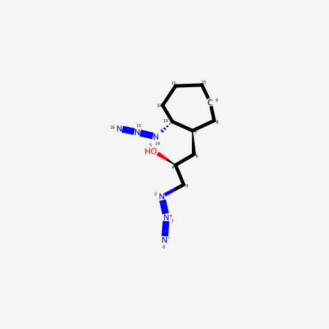 [N-]=[N+]=NC[C@@H](O)C[C@@H]1CCCCC[C@H]1N=[N+]=[N-]